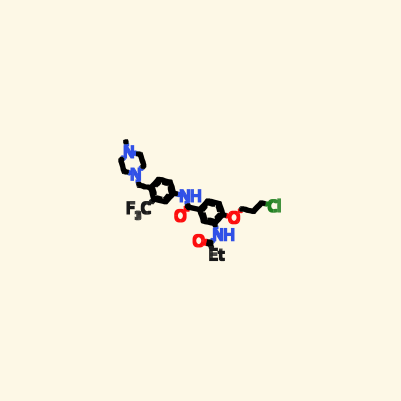 CCC(=O)Nc1cc(C(=O)Nc2ccc(CN3CCN(C)CC3)c(C(F)(F)F)c2)ccc1OCCCCl